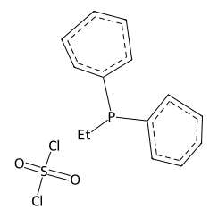 CCP(c1ccccc1)c1ccccc1.O=S(=O)(Cl)Cl